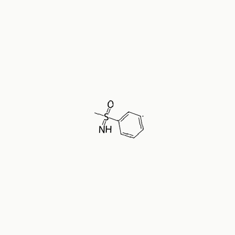 CS(=N)(=O)c1c[c]ccc1